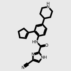 N#Cc1c[nH]c(C(=O)Nc2ccc(C3CCNCC3)cc2C2=CCCC2)n1